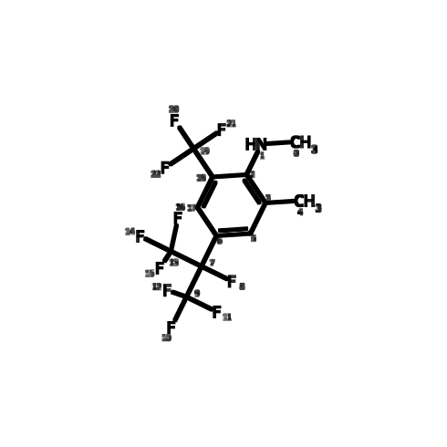 CNc1c(C)cc(C(F)(C(F)(F)F)C(F)(F)F)cc1C(F)(F)F